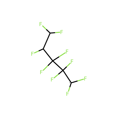 F[C](F)C(F)(F)C(F)(F)C(F)C(F)F